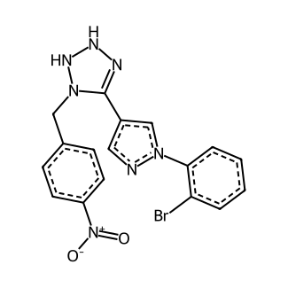 O=[N+]([O-])c1ccc(CN2NNN=C2c2cnn(-c3ccccc3Br)c2)cc1